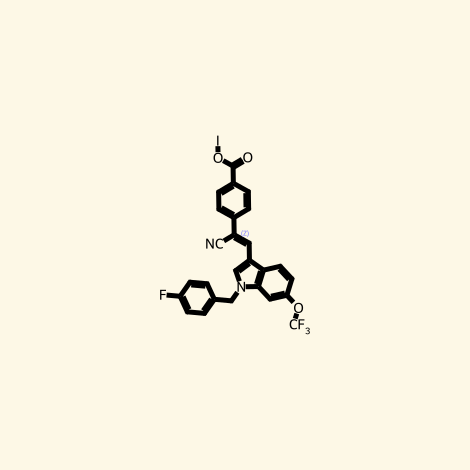 N#C/C(=C\c1cn(Cc2ccc(F)cc2)c2cc(OC(F)(F)F)ccc12)c1ccc(C(=O)OI)cc1